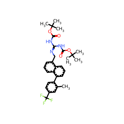 Cc1cc(C(F)(F)F)ccc1-c1cccc2c(CN=C(NC(=O)OC(C)(C)C)NC(=O)OC(C)(C)C)cccc12